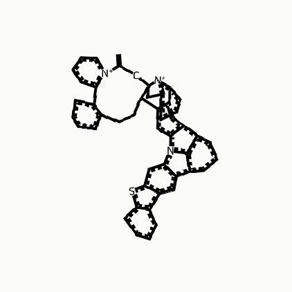 C=C1CC23Cc4cccc([n+]42)-c2cc4c5cccc6c7cc8c(cc7n(c4cc2C3CCc2ccccc2-c2cccc[n+]21)c56)sc1ccccc18